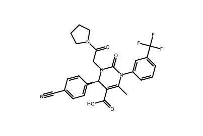 CC1=C(C(=O)O)[C@@H](c2ccc(C#N)cc2)N(CC(=O)N2CCCC2)C(=O)N1c1cccc(C(F)(F)F)c1